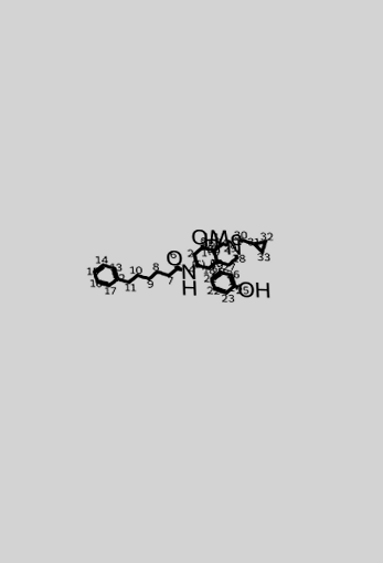 COC1C[C@@H](NC(=O)CCCCCc2ccccc2)C[C@]2(c3cccc(O)c3)CCN(CC3CC3)C[C@@H]12